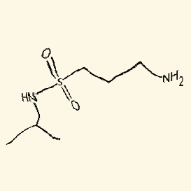 CC(C)NS(=O)(=O)CCCN